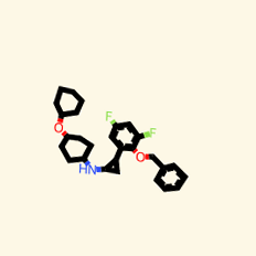 Fc1cc(F)c(OCc2ccccc2)c(C2CC2NC2CCC(OC3CCCCC3)CC2)c1